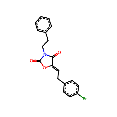 O=C1OC(=CCc2ccc(Br)cc2)C(=O)N1CCc1ccccc1